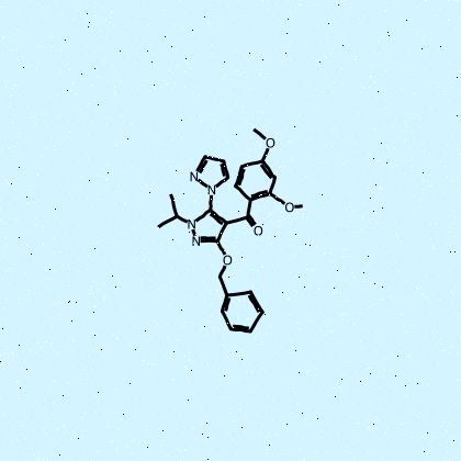 COc1ccc(C(=O)c2c(OCc3ccccc3)nn(C(C)C)c2-n2cccn2)c(OC)c1